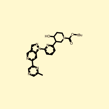 Cc1cncc(-c2cc3c(cn2)cnn3-c2cccc(C3CN(C(=O)OC(C)(C)C)CCC3O)n2)n1